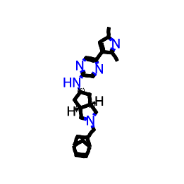 CC1=NC(C)C=C1c1cnc(N[C@H]2C[C@@H]3CN(CC4CC5C=CC4C5)C[C@@H]3C2)cn1